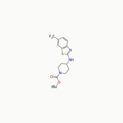 CC(C)(C)OC(=O)N1CCC(Nc2nc3ccc(C(F)(F)F)cc3s2)CC1